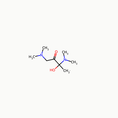 [CH2]C(O)(C(=O)CN(C)C)N(C)C